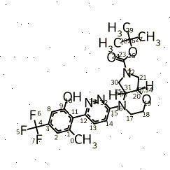 Cc1cc(C(F)(F)F)cc(O)c1-c1ccc(N2CCO[C@H]3CN(C(=O)OC(C)(C)C)C[C@H]32)nn1